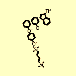 C[Si](C)(C)C=CC=C[Si](C)(C)C.[O-]c1ccccc1.[O-]c1ccccc1.[O-]c1ccccc1.[Ti+3][CH]1C=Cc2ccccc21